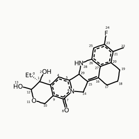 CC[C@]1(O)c2cc3n(c(=O)c2COC1O)CC1=C2CCCc4c(C)c(F)cc(c42)NC13